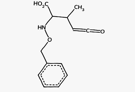 CC(C=C=O)C(NOCc1ccccc1)C(=O)O